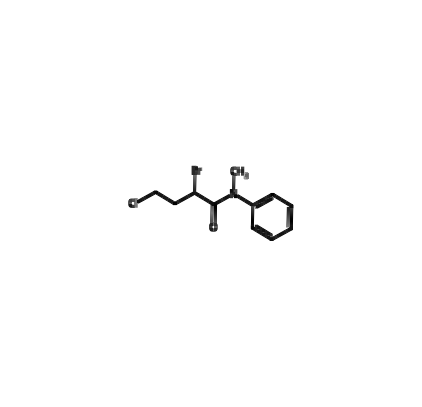 CN(C(=O)C(Br)CCCl)c1ccccc1